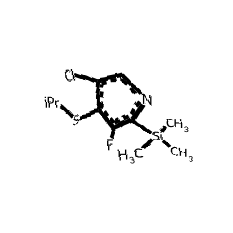 CC(C)Sc1c(Cl)cnc([Si](C)(C)C)c1F